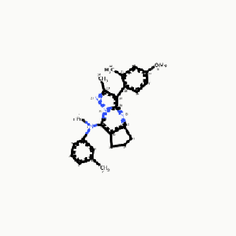 CCCN(c1cccc(C)c1)c1c2c(nc3c(-c4ccc(OC)cc4C)c(C)nn13)CCC2